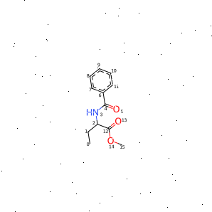 CCC(NC(=O)c1ccccc1)C(=O)OC